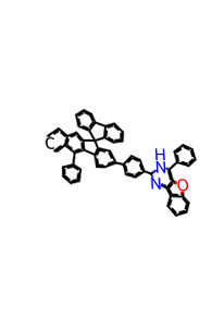 c1ccc(C2=c3oc4ccccc4c3=NC(c3ccc(-c4ccc5c(c4)C4(c6ccccc6-c6ccccc64)c4cc6ccccc6c(-c6ccccc6)c4-5)cc3)N2)cc1